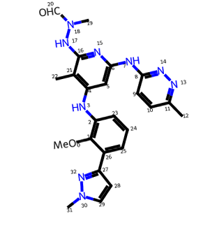 COc1c(Nc2cc(Nc3ccc(C)nn3)nc(NN(C)C=O)c2C)cccc1-c1ccn(C)n1